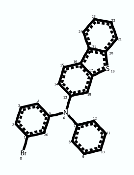 Brc1cccc(N(c2ccccc2)c2ccc3c(c2)sc2ccccc23)c1